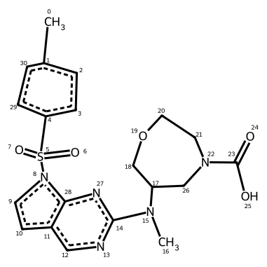 Cc1ccc(S(=O)(=O)n2ccc3cnc(N(C)C4COCCN(C(=O)O)C4)nc32)cc1